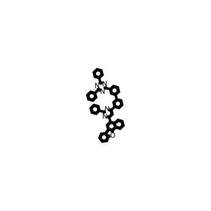 c1ccc(-c2nc(-c3cccc(-c4cccc(-c5nc(-c6ccccc6)nc(-c6ccccc6)n5)c4)c3)cc(-c3cc4c5ccccc5oc4c4ccccc34)n2)cc1